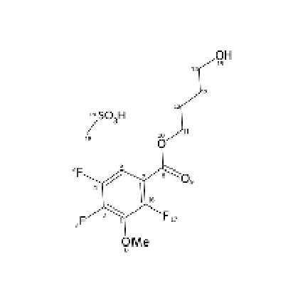 COc1c(F)c(F)cc(C(=O)OCCCCO)c1F.CS(=O)(=O)O